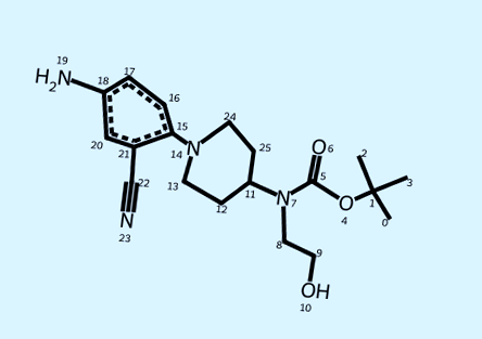 CC(C)(C)OC(=O)N(CCO)C1CCN(c2ccc(N)cc2C#N)CC1